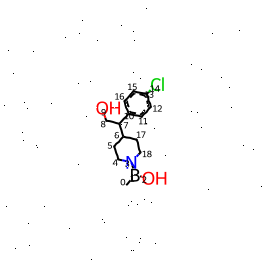 CB(O)N1CCC(C(CO)c2ccc(Cl)cc2)CC1